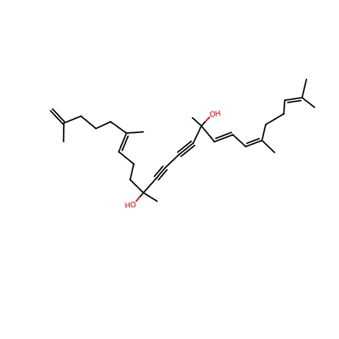 C=C(C)CCCC(C)=CCCC(C)(O)C#CC#CC(C)(O)C=CC=C(C)CCC=C(C)C